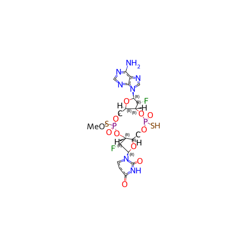 COSP1(=O)OC[C@H]2O[C@@H](n3cnc4c(N)ncnc43)[C@H](F)[C@@H]2OP(=O)(S)OC[C@H]2O[C@@H](n3ccc(=O)[nH]c3=O)[C@H](F)[C@@H]2O1